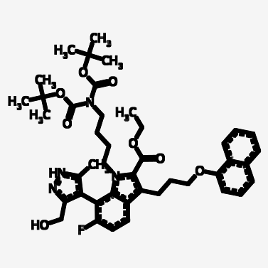 CCOC(=O)c1c(CCCOc2cccc3ccccc23)c2ccc(F)c(-c3c(CO)n[nH]c3C)c2n1CCCCN(C(=O)OC(C)(C)C)C(=O)OC(C)(C)C